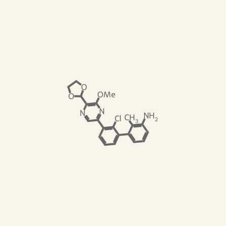 COc1nc(-c2cccc(-c3cccc(N)c3C)c2Cl)cnc1C1OCCO1